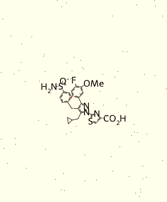 COc1cc(-c2nn(-c3nc(C(=O)O)cs3)c(CC3CC3)c2Cc2ccc([S+](N)[O-])cc2)ccc1F